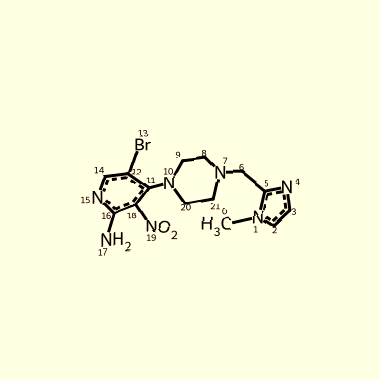 Cn1ccnc1CN1CCN(c2c(Br)cnc(N)c2[N+](=O)[O-])CC1